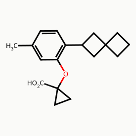 Cc1ccc(C2CC3(CCC3)C2)c(OC2(C(=O)O)CC2)c1